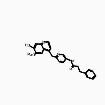 COc1cc2c(Cc3ccc(NC(=O)CCc4ccccc4)cn3)ccnc2cc1O